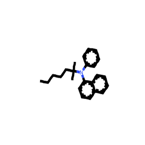 CCCCCC(C)(C)N(c1ccccc1)c1cccc2ccccc12